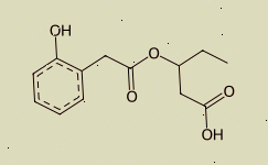 CCC(CC(=O)O)OC(=O)Cc1ccccc1O